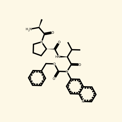 CC(C)[C@H](NC(=O)[C@@H]1CCCN1C(=O)[C@H](C)N)C(=O)N(C(=O)OCc1ccccc1)c1ccc2ncccc2c1